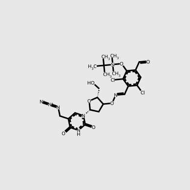 CC(C)(C)[Si](C)(C)Oc1c(C=O)cc(Cl)c(/C=N/OC2C[C@H](n3cc(CN=[N+]=[N-])c(=O)[nH]c3=O)O[C@@H]2CO)c1Cl